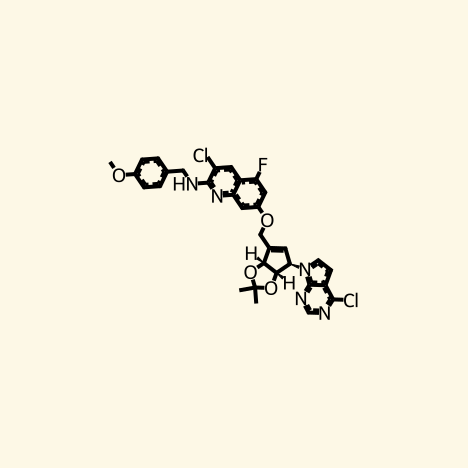 COc1ccc(CNc2nc3cc(OCC4=C[C@@H](n5ccc6c(Cl)ncnc65)[C@@H]5OC(C)(C)O[C@H]45)cc(F)c3cc2Cl)cc1